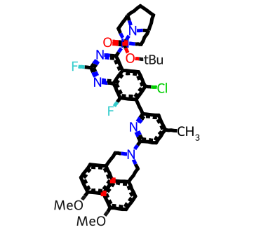 COc1ccc(CN(Cc2ccc(OC)cc2)c2cc(C)cc(-c3c(Cl)cc4c(N5CC6CCC(C5)N6C(=O)OC(C)(C)C)nc(F)nc4c3F)n2)cc1